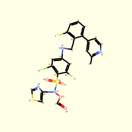 Cc1cc(-c2cccc(F)c2CNc2cc(F)c(S(=O)(=O)N(OC=O)c3cscn3)c(F)c2)ccn1